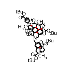 CC(C)(C)OC(=O)N1CC[C@H](C(C)(Cc2cccc(CN(Cc3cccc(CC(C)(C(=O)OC(C)(C)C)[C@H]4CCN(C(=O)OC(C)(C)C)C4)c3)Cc3cccc(CC(C)(C(=O)OC(C)(C)C)[C@H]4CCN(C(=O)OC(C)(C)C)C4)c3)c2)C(=O)OC(C)(C)C)C1